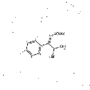 CON=C(c1ccccc1)C(O)Br